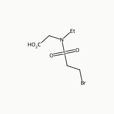 CCN(CC(=O)O)S(=O)(=O)CCBr